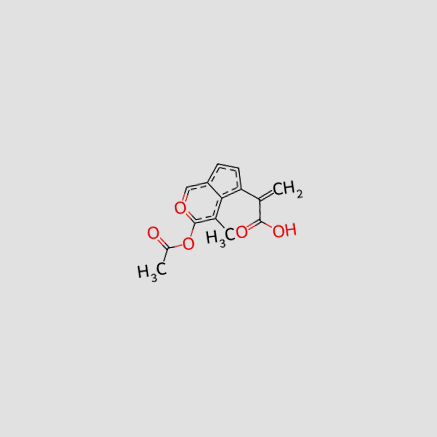 C=C(C(=O)O)c1ccc2coc(OC(C)=O)c(C)c1-2